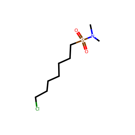 CN(C)S(=O)(=O)CCCCCCCCl